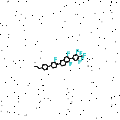 CCCc1ccc(-c2ccc(-c3ccc4c(F)c(-c5cc(F)c(C(F)(F)F)c(F)c5)c(F)cc4c3)c(F)c2)cc1